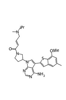 COc1cc(C)cc2cc(-c3cn(C4CCN(C(=O)/C=C/CN(C)C(C)C)C4)c4ncnc(N)c34)sc12